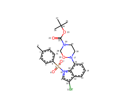 Cc1ccc(S(=O)(=O)n2cc(Br)c3cccc(N4CCN(C(=O)OC(C)(C)C)CO4)c32)cc1